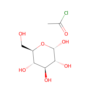 CC(=O)Cl.OC[C@H]1O[C@H](O)[C@H](O)[C@@H](O)[C@@H]1O